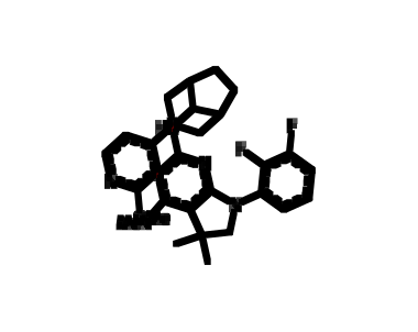 CNc1nc(NC2C3CCC2CN(c2ccnc(OC)c2)C3)nc2c1C(C)(C)CN2c1cccc(F)c1F